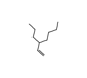 C=CC([CH]CC)CCCC